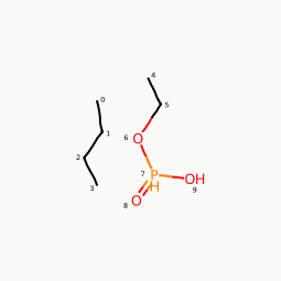 CCCC.CCO[PH](=O)O